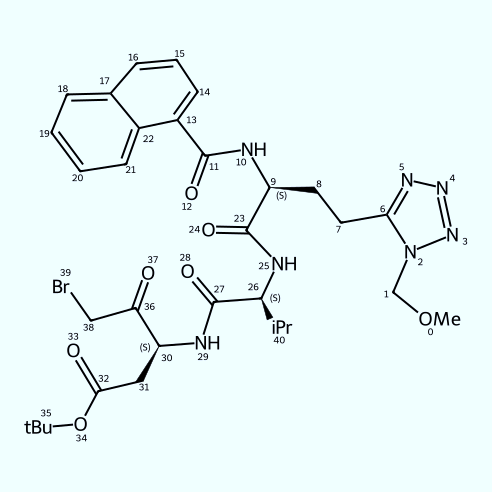 COCn1nnnc1CC[C@H](NC(=O)c1cccc2ccccc12)C(=O)N[C@H](C(=O)N[C@@H](CC(=O)OC(C)(C)C)C(=O)CBr)C(C)C